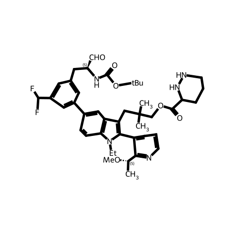 CCn1c(-c2cccnc2[C@H](C)OC)c(CC(C)(C)COC(=O)C2CCCNN2)c2cc(-c3cc(C[C@@H](C=O)NC(=O)OC(C)(C)C)cc(C(F)F)c3)ccc21